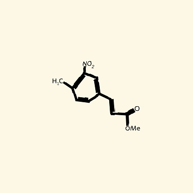 COC(=O)C=Cc1ccc(C)c([N+](=O)[O-])c1